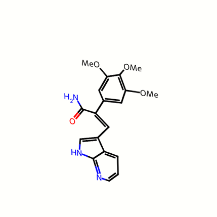 COc1cc(C(=Cc2c[nH]c3ncccc23)C(N)=O)cc(OC)c1OC